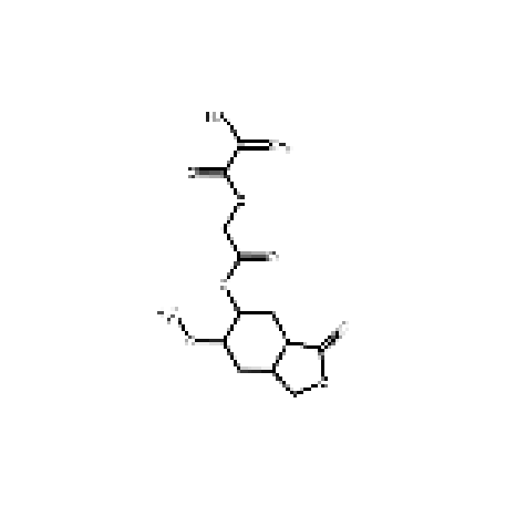 C=C(C)C(=O)OCC(=O)OC1CC2C(=O)OCC2CC1OC